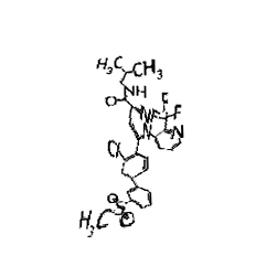 CC(C)CNC(=O)c1cc(-c2ccc(-c3cccc(S(C)(=O)=O)c3)cc2Cl)n(-c2cccnc2C(F)(F)F)n1